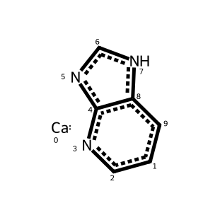 [Ca].c1cnc2nc[nH]c2c1